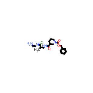 C=C(CNC(=O)C1CCCN(C(=O)OCc2ccccc2)C1)/C(Cl)=N\C=C/N